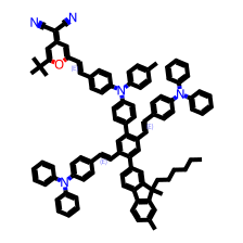 CCCCCCC1(C)c2cc(C)ccc2-c2ccc(-c3cc(/C=C/c4ccc(N(c5ccccc5)c5ccccc5)cc4)c(-c4ccc(N(c5ccc(C)cc5)c5ccc(/C=C/C6=CC(=C(C#N)C#N)C=C(C(C)(C)C)O6)cc5)cc4)cc3/C=C/c3ccc(N(c4ccccc4)c4ccccc4)cc3)cc21